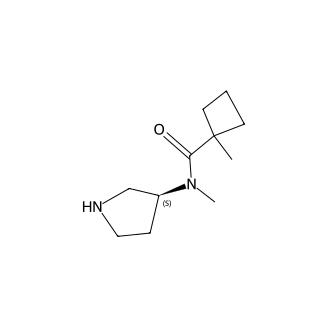 CN(C(=O)C1(C)CCC1)[C@H]1CCNC1